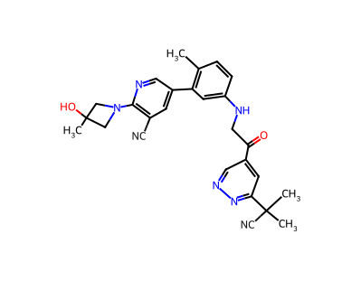 Cc1ccc(NCC(=O)c2cnnc(C(C)(C)C#N)c2)cc1-c1cnc(N2CC(C)(O)C2)c(C#N)c1